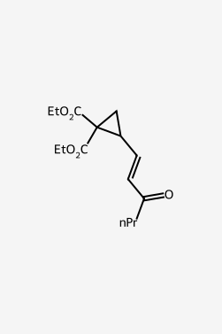 CCCC(=O)C=CC1CC1(C(=O)OCC)C(=O)OCC